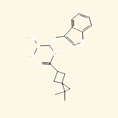 O=C(N[C@@H](Cc1coc2ccccc12)B(O)O)C1CC2(C1)CC2(F)F